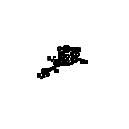 CCC(Oc1ccc(CC(C)(C)C)cc1CC(C)(C)C)C(=O)Nc1ccc(Cl)c(NC(=O)/C(=N/c2ccc(N(CC)CCNS(C)(=O)=O)cc2C)C(=O)C(C)(C)C)c1